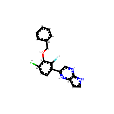 Fc1c(-c2cnc3[nH]ccc3n2)ccc(Cl)c1OCc1ccccc1